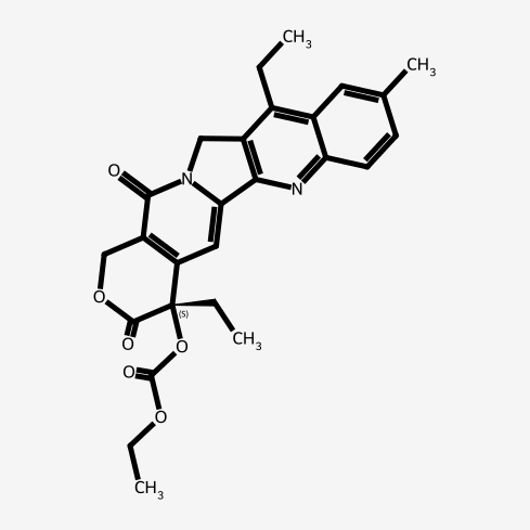 CCOC(=O)O[C@]1(CC)C(=O)OCc2c1cc1n(c2=O)Cc2c-1nc1ccc(C)cc1c2CC